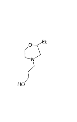 CCC1CN(CCCO)CCO1